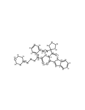 NC1(C(=O)N(C(=O)c2cc3ccccc3s2)[C@@H](Cc2ccccc2)C(=O)NCCCN2CCOCC2)CCCC1